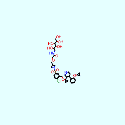 O=C(COCC1CN(S(=O)(=O)c2ccc(Cl)c(COC3(c4cnccc4-c4ccccc4OC4CC4)CC3)c2)C1)NCC(O)C(O)C(O)C(O)CO